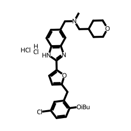 CC(C)COc1ccc(Cl)cc1Cc1ccc(-c2nc3cc(CN(C)CC4CCOCC4)ccc3[nH]2)o1.Cl.Cl